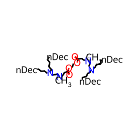 CCCCCCCCCCCCCCN(CCCCCCCCCCCCCC)CCN(C)CCC(=O)OCCOC(=O)CCN(C)CCN(CCCCCCCCCCCCCC)CCCCCCCCCCCCCC